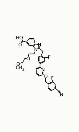 COCCOCCn1c(Cc2ccc(-c3cccc(OCc4ccc(C#N)cc4F)n3)cc2F)nc2ccc(C(=O)O)cc21